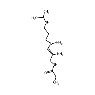 CCC(=O)NC/C(N)=C/N(N)CCCNC(C)C